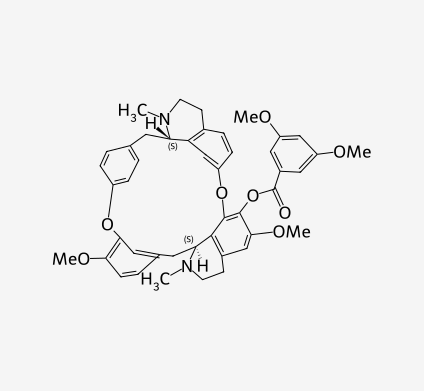 COc1cc(OC)cc(C(=O)Oc2c(OC)cc3c4c2Oc2ccc5c(c2)[C@H](Cc2ccc(cc2)Oc2cc(ccc2OC)C[C@@H]4N(C)CC3)N(C)CC5)c1